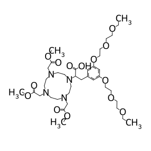 CCOCCOCCOc1cc(CC(C(=O)O)N2CCN(CC(=O)OC)CCN(CC(=O)OC)CCN(CC(=O)OC)CC2)cc(OCCOCCOCC)c1